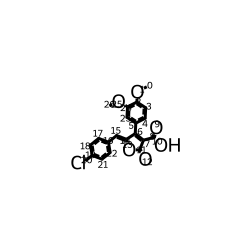 COc1ccc(C2=C(C(=O)O)C(=O)OC2=Cc2ccc(Cl)cc2)cc1OC